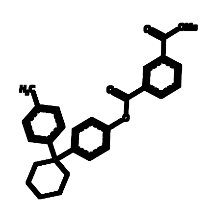 COC(=O)c1cccc(C(=O)Oc2ccc(C3(c4ccc(C)cc4)CCCCC3)cc2)c1